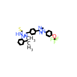 CC(C)c1ccccc1N(/N=C/c1ccc(-c2ncn(-c3ccc(OC(F)(F)F)cc3)n2)cc1)NC=S